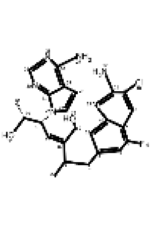 CC(Cc1cc(F)c2cc(Cl)c(N)nc2c1)/C(=C/[C@H]([C@@H](C)O)n1ccc2c(N)ncnc21)CO